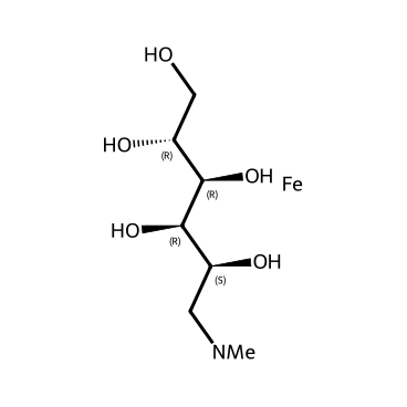 CNC[C@H](O)[C@@H](O)[C@H](O)[C@H](O)CO.[Fe]